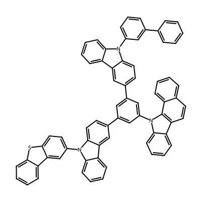 c1ccc(-c2cccc(-n3c4ccccc4c4cc(-c5cc(-c6ccc7c(c6)c6ccccc6n7-c6ccc7sc8ccccc8c7c6)cc(-n6c7ccccc7c7ccc8ccccc8c76)c5)ccc43)c2)cc1